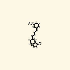 CC(=O)c1cccc(CCC=Cc2ccc3c(c2)C(=O)CC3)c1